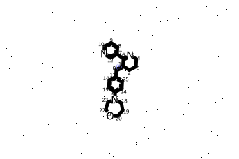 C(=C1/CCCN=C1c1cccnc1)/c1ccc(N2CCCOCC2)cc1